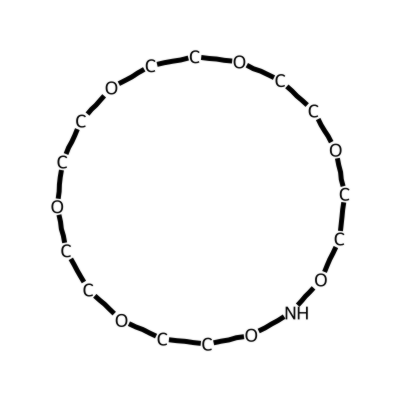 C1COCCOCCONOCCOCCOCCO1